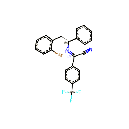 N#C/C(=N\[C@H](Cc1ccccc1Br)c1ccccc1)c1ccc(C(F)(F)F)cc1